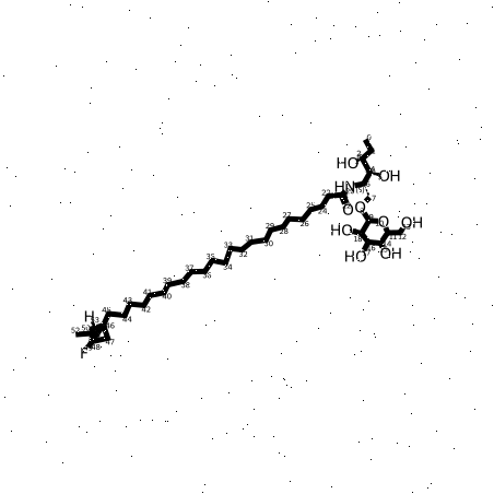 CC[C@@H](O)[C@@H](O)[C@H](COC1OC(CO)C(O)C(O)C1O)NC(=O)CCCCCCCCCCCCCCCCCCCCCCCC12CC(F)(C1)[C@@H]2C